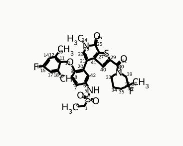 CCS(=O)(=O)Nc1ccc(Oc2c(C)cc(F)cc2C)c(-c2cn(C)c(=O)c3sc(C(=O)N4CCCC(C)(F)C4)cc23)c1